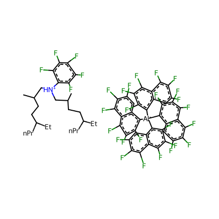 CCCC(CC)CCC(C)C[NH+](CC(C)CCC(CC)CCC)c1c(F)c(F)c(F)c(F)c1F.Fc1cc2[c]([Al-]([c]3c(F)c(F)c(F)c4c(F)c(F)c(F)cc34)([c]3c(F)c(F)c(F)c4c(F)c(F)c(F)cc34)[c]3c(F)c(F)c(F)c4c(F)c(F)c(F)cc34)c(F)c(F)c(F)c2c(F)c1F